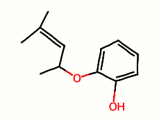 CC(C)=CC(C)Oc1ccccc1O